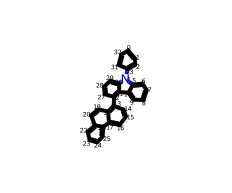 c1ccc(-n2c3ccccc3c3c(-c4cccc5c4ccc4ccccc45)cccc32)cc1